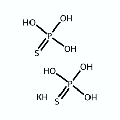 OP(O)(O)=S.OP(O)(O)=S.[KH]